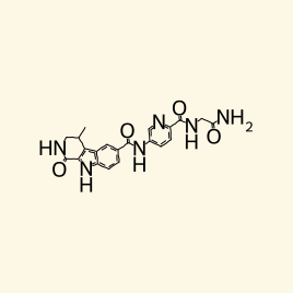 CC1CNC(=O)c2[nH]c3ccc(C(=O)Nc4ccc(C(=O)NCC(N)=O)nc4)cc3c21